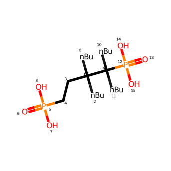 CCCCC(CCCC)(CCP(=O)(O)O)C(CCCC)(CCCC)P(=O)(O)O